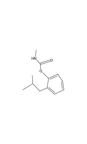 CNC(=O)Oc1ccccc1CC(C)C